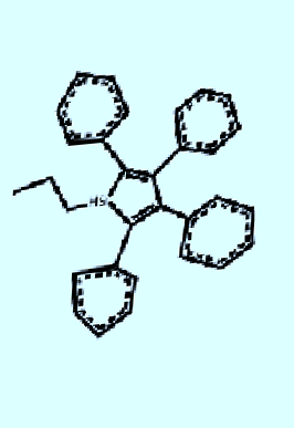 CCC[SiH]1C(c2ccccc2)=C(c2ccccc2)C(c2ccccc2)=C1c1ccccc1